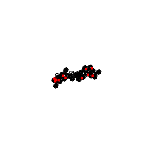 CC1(C)c2cc(N(c3ccccc3)c3ccc4c(c3)C3(c5ccccc5-c5ccc(N(c6ccccc6)c6ccccc6)cc53)c3c-4oc4ccccc34)ccc2-c2cccc(-c3ccc4c(c3)C(c3ccccc3)(c3ccccc3)c3cc(N(c5ccccc5)c5cccc6c5-c5oc7ccccc7c5C65c6ccccc6-c6c(N(c7ccccc7)c7ccccc7)cccc65)ccc3-4)c21